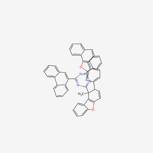 CC1(c2nc(-c3ccccc3)nc(-c3cc4ccccc4c4ccccc34)n2)c2c(oc3ccccc23)C=CC1c1ccc2c(c1)oc1c3ccccc3ccc21